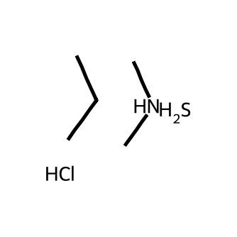 CCC.CNC.Cl.S